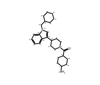 NC1CCC(C(=O)N2CCC(c3cn(CC4CCCCC4)c4ccccc34)CC2)CC1